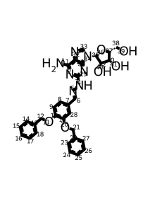 Nc1nc(N/N=C/c2ccc(OCc3ccccc3)c(OCc3ccccc3)c2)nc2c1ncn2[C@@H]1O[C@H](CO)[C@@H](O)[C@H]1O